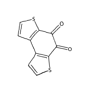 O=C1C(=O)c2sccc2-c2ccsc21